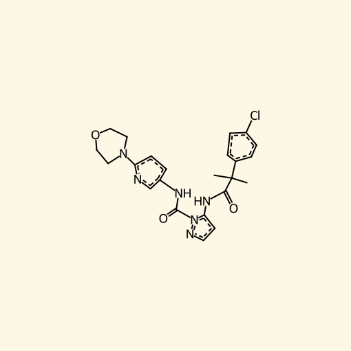 CC(C)(C(=O)Nc1ccnn1C(=O)Nc1ccc(N2CCOCC2)nc1)c1ccc(Cl)cc1